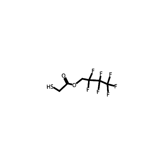 O=C(CS)OCC(F)(F)C(F)(F)C(F)(F)F